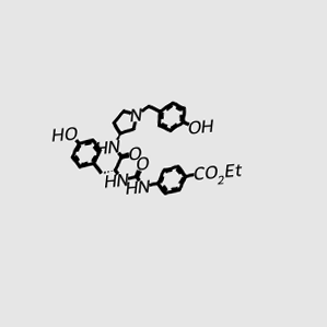 CCOC(=O)c1ccc(NC(=O)N[C@H](Cc2ccc(O)cc2)C(=O)N[C@H]2CCN(Cc3ccc(O)cc3)C2)cc1